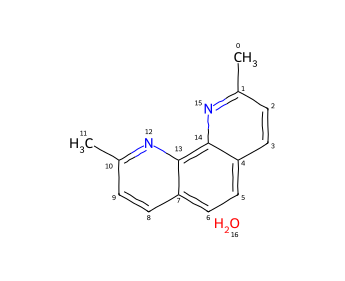 Cc1ccc2ccc3ccc(C)nc3c2n1.O